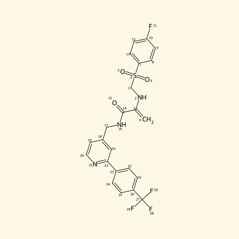 C=C(NCS(=O)(=O)c1ccc(F)cc1)C(=O)NCc1ccnc(-c2ccc(C(F)(F)F)cc2)c1